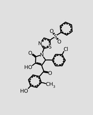 Cc1cc(O)ccc1C(=O)C1=C(O)C(=O)N(c2ncc(S(=O)(=O)c3ccccc3)s2)C1c1cccc(Cl)c1